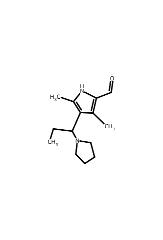 CCC(c1c(C)[nH]c(C=O)c1C)N1CCCC1